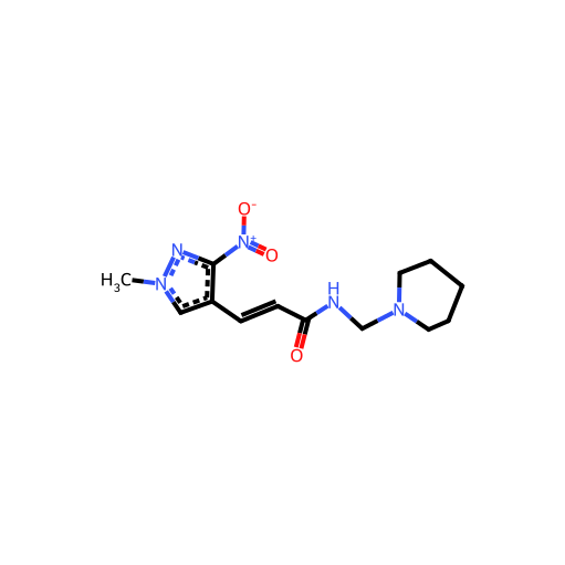 Cn1cc(C=CC(=O)NCN2CCCCC2)c([N+](=O)[O-])n1